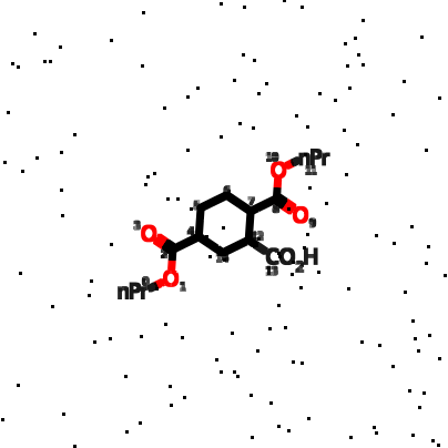 CCCOC(=O)C1CCC(C(=O)OCCC)C(C(=O)O)C1